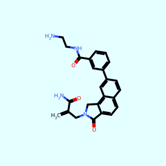 C=C(CN1Cc2c(ccc3ccc(-c4cccc(C(=O)NCCN)c4)cc23)C1=O)C(N)=O